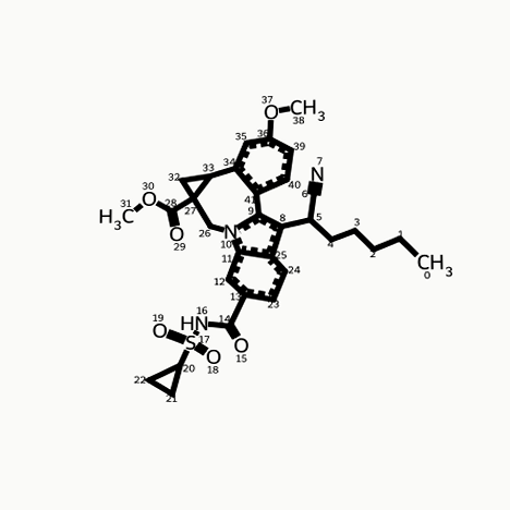 CCCCCC(C#N)c1c2n(c3cc(C(=O)NS(=O)(=O)C4CC4)ccc13)CC1(C(=O)OC)CC1c1cc(OC)ccc1-2